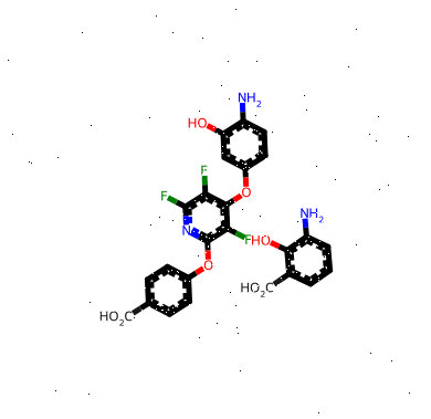 Nc1ccc(Oc2c(F)c(F)nc(Oc3ccc(C(=O)O)cc3)c2F)cc1O.Nc1cccc(C(=O)O)c1O